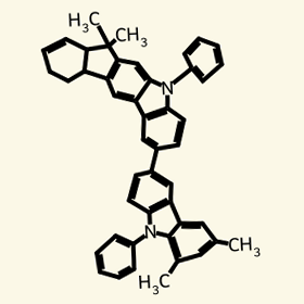 Cc1cc(C)c2c(c1)c1cc(-c3ccc4c(c3)c3cc5c(cc3n4-c3ccccc3)C(C)(C)C3C=CCCC53)ccc1n2-c1ccccc1